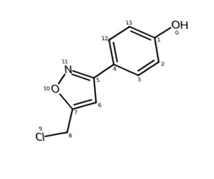 Oc1ccc(-c2cc(CCl)on2)cc1